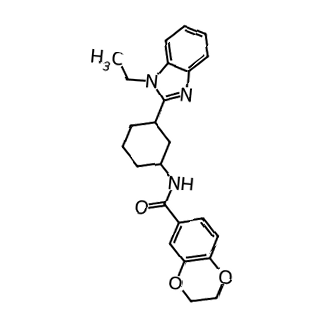 CCn1c(C2CCCC(NC(=O)c3ccc4c(c3)OCCO4)C2)nc2ccccc21